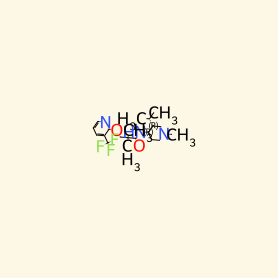 CC(C)[C@@H]1CN(C)CC[C@H]1NC(=O)C(C)(C)COc1ncccc1C(F)(F)F